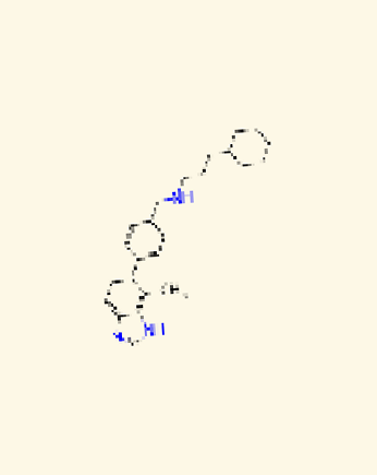 CC1=c2[nH]cnc2=CCC1C1=CCC(CNCCCC2CCCCC2)C=C1